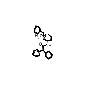 C[N@@+]1(Cc2ccccc2)CCC[C@H](NC(=O)C(c2ccccc2)c2ccccc2)C1